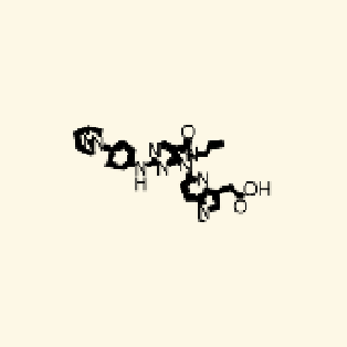 C=CCn1c(=O)c2cnc(Nc3ccc(N4CC5CC(C4)N5C)cc3)nc2n1-c1ccc2c(n1)c(CC(=O)O)cn2C